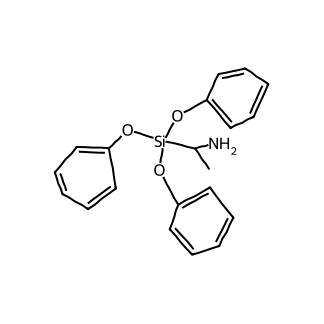 CC(N)[Si](Oc1ccccc1)(Oc1ccccc1)Oc1ccccc1